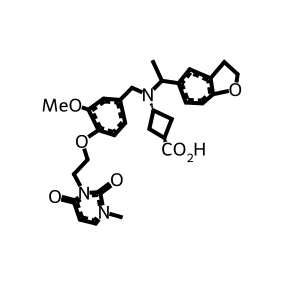 COc1cc(CN(C(C)c2ccc3c(c2)CCO3)[C@H]2C[C@H](C(=O)O)C2)ccc1OCCn1c(=O)ccn(C)c1=O